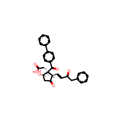 O=C(O)C[C@@]1(C(=O)c2ccc(-c3ccccc3)cc2)[C@@H](O)CC(=O)[C@@H]1C=CC(=O)Cc1ccccc1